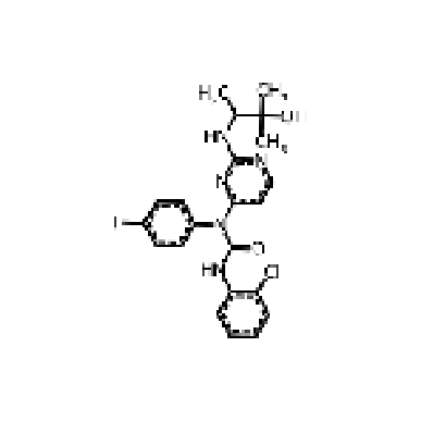 CC(Nc1nccc(N(C(=O)Nc2ccccc2Cl)c2ccc(F)cc2)n1)C(C)(C)O